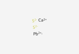 [Ca+2].[Pb+2].[S-2].[S-2]